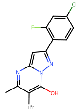 Cc1nc2cc(-c3ccc(Cl)cc3F)nn2c(O)c1C(C)C